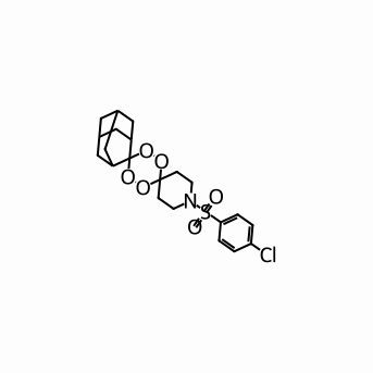 O=S(=O)(c1ccc(Cl)cc1)N1CCC2(CC1)OOC1(OO2)C2CC3CC(C2)CC1C3